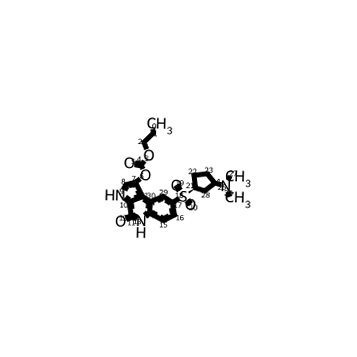 CCCOC(=O)Oc1c[nH]c2c(=O)[nH]c3ccc(S(=O)(=O)[C@@H]4CCC(N(C)C)C4)cc3c12